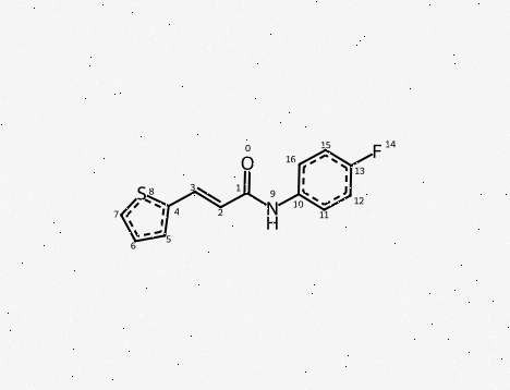 O=C(C=Cc1cccs1)Nc1ccc(F)cc1